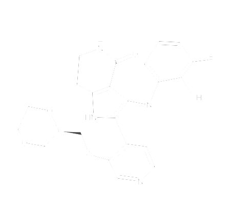 Cc1c(F)cccc1Nc1c(-c2ccncc2OC[C@H]2COCCO2)[nH]c2c1C(=O)NCC2